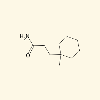 CC1(CCC(N)=O)CCCCC1